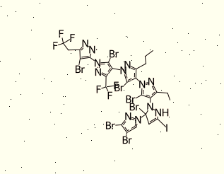 CCCc1nn(-c2c(C(F)(F)F)nn(C3=C(Br)C(CC(F)(F)F)=N[N]3)c2Br)c(Br)c1-n1nc(CC)c(N2NC(I)=CC2(Br)n2cc(Br)c(Br)n2)c1Br